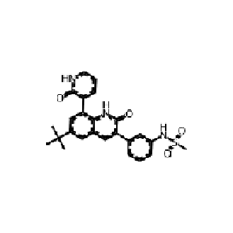 CC(C)(C)c1cc(-c2ccc[nH]c2=O)c2[nH]c(=O)c(-c3cccc(NS(C)(=O)=O)c3)cc2c1